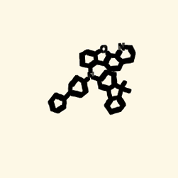 CC1(C)c2ccccc2-c2cc(N(c3ccc(-c4ccccc4)cc3)c3cccc4oc5c(ccc6cccnc65)c34)ccc21